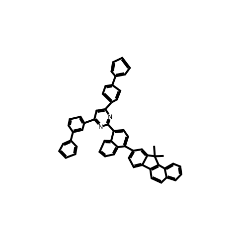 CC1(C)c2cc(-c3ccc(-c4nc(-c5ccc(-c6ccccc6)cc5)cc(-c5cccc(-c6ccccc6)c5)n4)c4ccccc34)ccc2-c2ccc3ccccc3c21